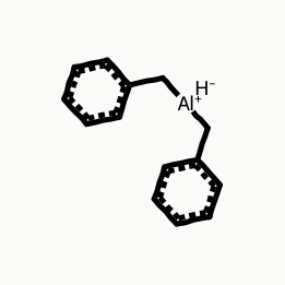 [H-].c1ccc([CH2][Al+][CH2]c2ccccc2)cc1